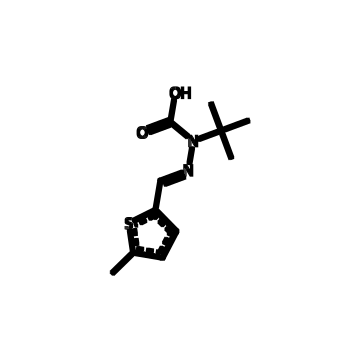 Cc1ccc(/C=N/N(C(=O)O)C(C)(C)C)s1